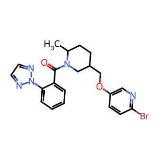 CC1CCC(COc2ccc(Br)nc2)CN1C(=O)c1ccccc1-n1nccn1